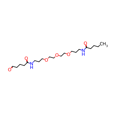 CCCCC(=O)NCCCOCCOCCOCCCNC(=O)CCCC=O